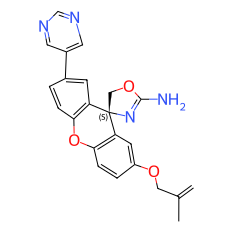 C=C(C)COc1ccc2c(c1)[C@]1(COC(N)=N1)c1cc(-c3cncnc3)ccc1O2